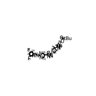 CC(C)(C)C(=O)OCn1cc(C2(C)CCN(c3nnc(-c4cnc(NCc5cc(F)cc(F)c5)nc4)o3)C2)nn1